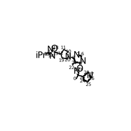 CC(=NOc1ncnc(N2CCC(c3nc(C(C)C)no3)CC2)c1C)c1cccnc1